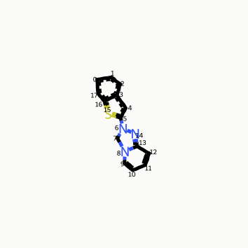 [c]1ccc2cc(N3CN4C=CC=CC4=N3)sc2c1